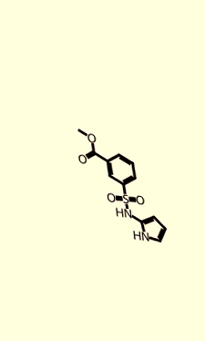 COC(=O)c1cccc(S(=O)(=O)Nc2ccc[nH]2)c1